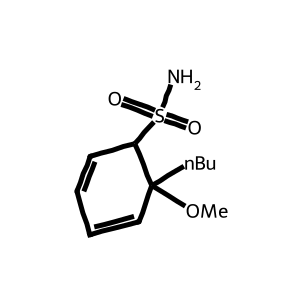 CCCCC1(OC)C=CC=CC1S(N)(=O)=O